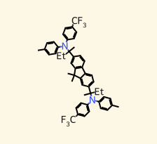 CCC(C)(c1ccc2c(c1)C(C)(C)c1cc(C(C)(CC)N(c3ccc(C)cc3)c3ccc(C(F)(F)F)cc3)ccc1-2)N(c1ccc(C)cc1)c1ccc(C(F)(F)F)cc1